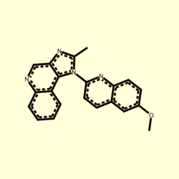 COc1ccc2nc(-n3c(C)nc4cnc5ccccc5c43)ccc2c1